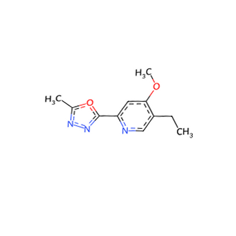 CCc1cnc(-c2nnc(C)o2)cc1OC